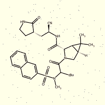 CN(C(C(=O)N1C[C@H]2C([C@H]1C(=O)N[C@H](C#N)C[C@@H]1CCNC1=O)C2(C)C)C(C)(C)C)S(=O)(=O)c1ccc2ccccc2c1